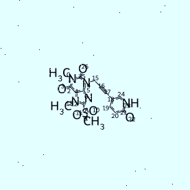 Cn1c(=O)c2c(nc(S(C)(=O)=O)n2C)n(CC#Cc2ccc(=O)[nH]c2)c1=O